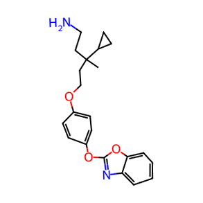 CC(CCN)(CCOc1ccc(Oc2nc3ccccc3o2)cc1)C1CC1